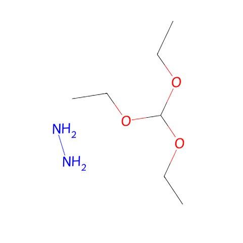 CCOC(OCC)OCC.NN